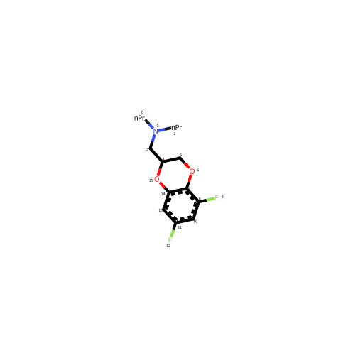 CCCN(CCC)CC1COc2c(F)cc(F)cc2O1